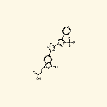 O=C(O)CCn1cc(Cl)c2cc(-c3noc(-c4cc(-c5ccccc5)c(C(F)(F)F)s4)n3)ccc21